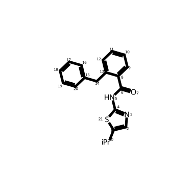 CC(C)c1cnc(NC(=O)c2ccccc2Cc2ccccc2)s1